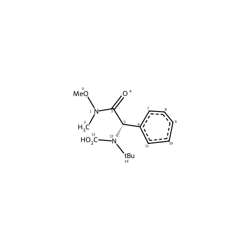 CON(C)C(=O)[C@H](c1ccccc1)N(C(=O)O)C(C)(C)C